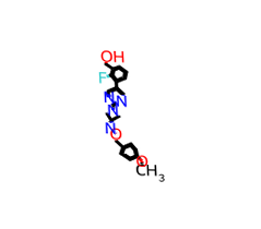 COc1ccc(CON=C2CN(c3ncc(-c4cccc(CO)c4F)cn3)C2)cc1